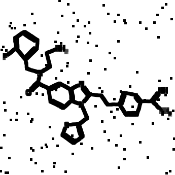 N=C(N)c1ccc(CCc2nc3cc(C(=O)N(CCN)Cc4ccccc4F)ccc3n2Cc2cccs2)cc1